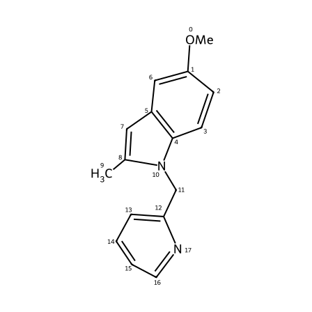 COc1ccc2c(c1)cc(C)n2Cc1ccccn1